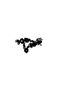 COc1ccccc1COCCCOc1ccc(C2CCN(C(=O)O)CC2OCCOc2ccccc2CCOS(=O)(=O)c2ccc(C)cc2)cc1